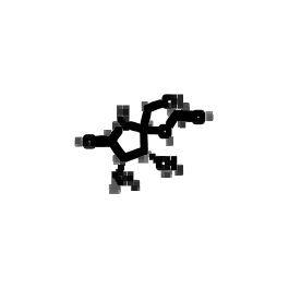 CCC1(OC=O)NC(=O)[C@@H](N)[C@H]1C